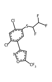 FC(F)C(F)Sc1cc(-c2cc(C(F)(F)F)on2)c(Cl)cc1Cl